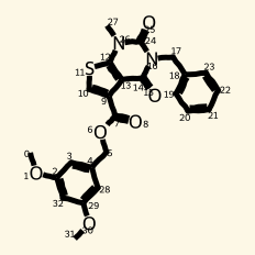 COc1cc(COC(=O)c2csc3c2c(=O)n(Cc2ccccc2)c(=O)n3C)cc(OC)c1